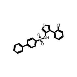 O=S(=O)(Nc1cscc1-c1ccccc1Cl)c1ccc(-c2ccccc2)cc1